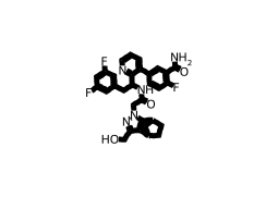 NC(=O)c1cc(-c2cccnc2C(Cc2cc(F)cc(F)c2)NC(=O)Cn2nc(CO)c3c2C2CCC3C2)ccc1F